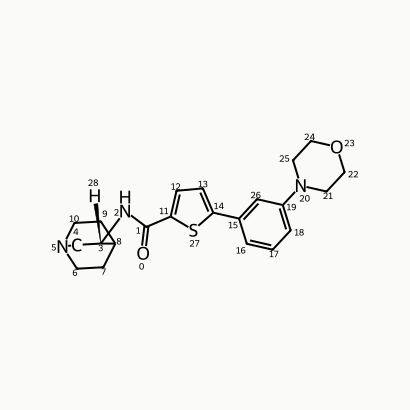 O=C(N[C@H]1CN2CCC1CC2)c1ccc(-c2cccc(N3CCOCC3)c2)s1